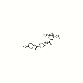 CC1(C(F)(F)F)C=C(C(F)(F)F)C=C(C(=O)NCC2CCN(C(=O)CN3CCC(O)CC3)CC2)C1